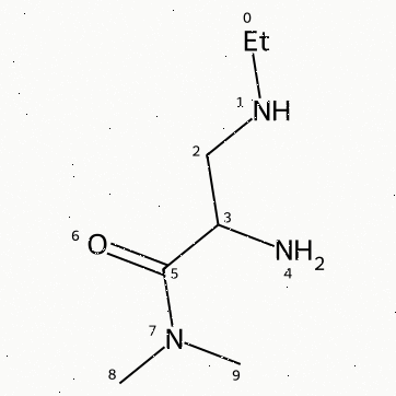 CCNCC(N)C(=O)N(C)C